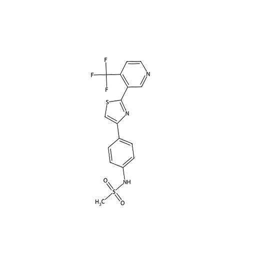 CS(=O)(=O)Nc1ccc(-c2csc(-c3cnccc3C(F)(F)F)n2)cc1